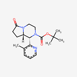 Cc1cccnc1[C@@H]1[C@@H]2CCC(=O)N2CCN1C(=O)OC(C)(C)C